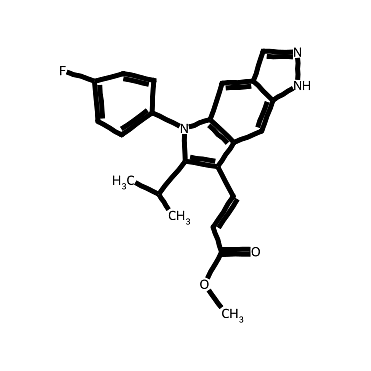 COC(=O)/C=C/c1c(C(C)C)n(-c2ccc(F)cc2)c2cc3cn[nH]c3cc12